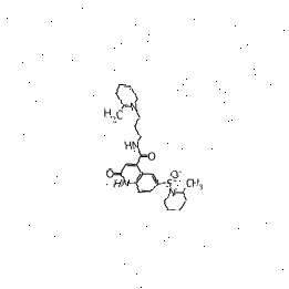 CC1CCCCN1CCCNC(=O)c1cc(=O)[nH]c2ccc([S+]([O-])N3CCCCC3C)cc12